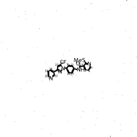 CSc1ncccc1C(=O)Nc1ccc(-n2nc(-c3cccnc3)cc2C(F)(F)F)cc1